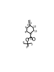 CC(C)(C)OC(=O)C1CCC(F)CC1